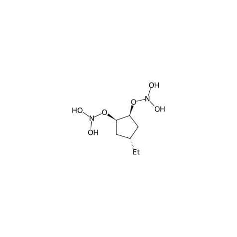 CC[C@H]1C[C@H](ON(O)O)[C@H](ON(O)O)C1